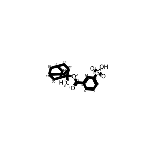 CC1(OC(=O)c2cccc(S(=O)(=O)O)c2)C2CC3CC(C2)CC1C3